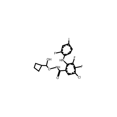 O=C(NOC(O)C1CCC1)c1cc(Cl)c(F)c(F)c1Nc1ccc(I)cc1F